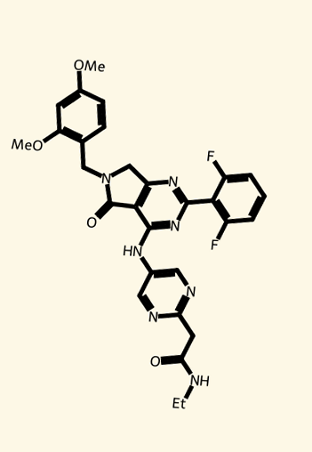 CCNC(=O)Cc1ncc(Nc2nc(-c3c(F)cccc3F)nc3c2C(=O)N(Cc2ccc(OC)cc2OC)C3)cn1